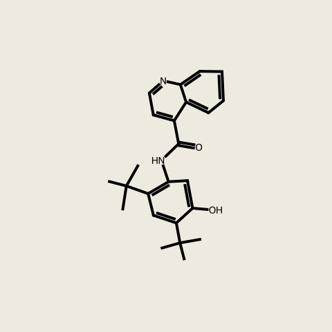 CC(C)(C)c1cc(C(C)(C)C)c(NC(=O)c2ccnc3ccccc23)cc1O